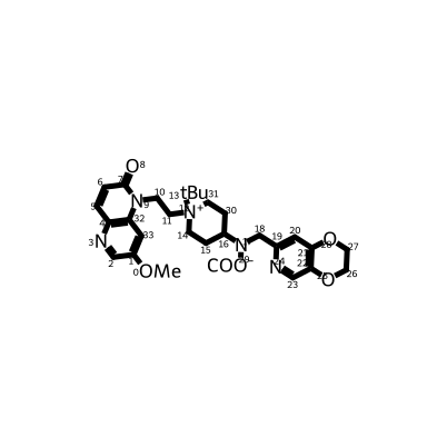 COc1cnc2ccc(=O)n(CC[N+]3(C(C)(C)C)CCC(N(Cc4cc5c(cn4)OCCO5)C(=O)[O-])CC3)c2c1